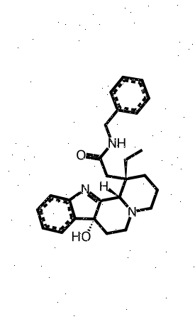 CC[C@@]1(CC(=O)NCc2ccccc2)CCCN2CC[C@]3(O)C(=Nc4ccccc43)[C@@H]21